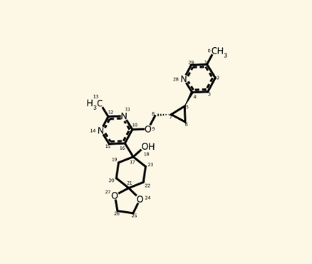 Cc1ccc([C@H]2C[C@@H]2COc2nc(C)ncc2C2(O)CCC3(CC2)OCCO3)nc1